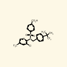 CC(C)(c1ccc(CN(c2ncc(C(F)(F)F)cc2Cl)S(=O)(=O)c2ccc(C(=O)O)cc2)cc1)C(F)(F)F